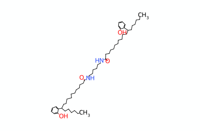 CCCCCCC(CCCCCCCCCCC(=O)NCCCCCCNC(=O)CCCCCCCCCCC(CCCCCC)c1ccccc1O)c1ccccc1O